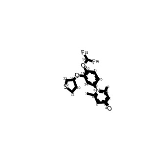 Cc1cc(=O)cc(C)n1-c1ccc(OC(F)F)c(OC2CCSC2)c1